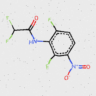 O=C(Nc1c(F)ccc([N+](=O)[O-])c1F)C(F)F